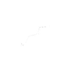 N#CCOCCl